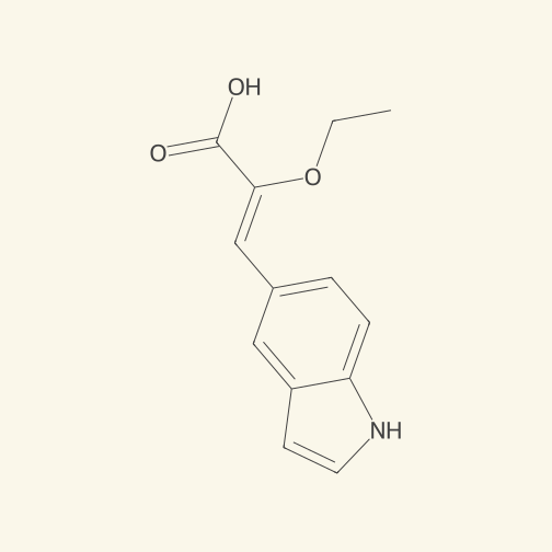 CCOC(=Cc1ccc2[nH]ccc2c1)C(=O)O